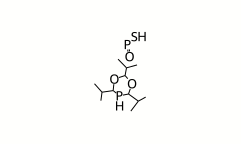 CC(C)C1OC(C(C)C)PC(C(C)C)O1.O=PS